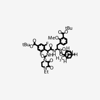 CCN1CCN(C(=O)NC(C(=O)NC(Cc2cccc(C(=O)OC(C)(C)C)c2OC)B2O[C@@H]3C[C@@H]4C[C@@H](C4(C)C)[C@]3(C)O2)c2c(F)cc(C(=O)OC(C)(C)C)cc2F)C(=O)C1=O